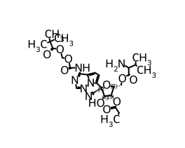 CCC(=O)O[C@H]1[C@@H](O)[C@](C#N)(c2ccc3c(NC(=O)OCOC(=O)C(C)(C)C)ncnn23)O[C@@H]1COC(=O)C(N)C(C)C